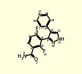 NC(=O)c1ccc(F)c(-c2n[nH]cc2-c2ccncc2)c1F